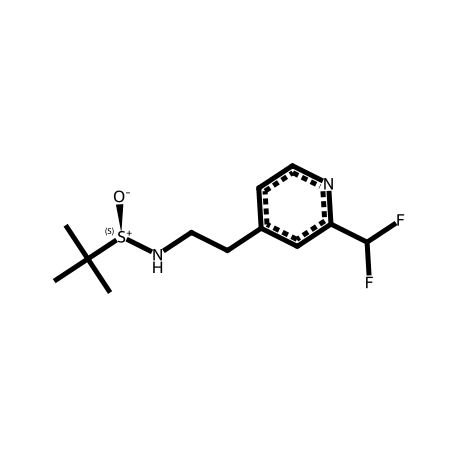 CC(C)(C)[S@@+]([O-])NCCc1ccnc(C(F)F)c1